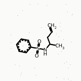 C=CCC(C)NS(=O)(=O)c1ccccc1